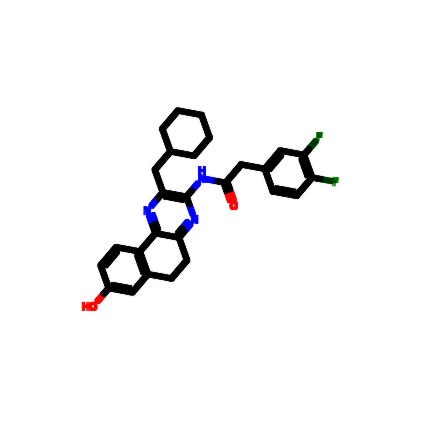 O=C(Cc1ccc(F)c(F)c1)Nc1nc2c(nc1CC1CCCCC1)-c1ccc(O)cc1CC2